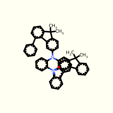 CC1(C)c2ccccc2-c2ccc(N(c3ccc4c(c3)-c3c(-c5ccccc5)cccc3C4(C)C)c3ccccc3-n3c4ccccc4c4ccccc43)cc21